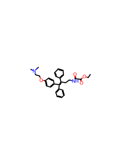 CCOC(=O)C(=O)NCC/C(=C(\c1ccccc1)c1ccc(OCCN(C)C)cc1)c1ccccc1